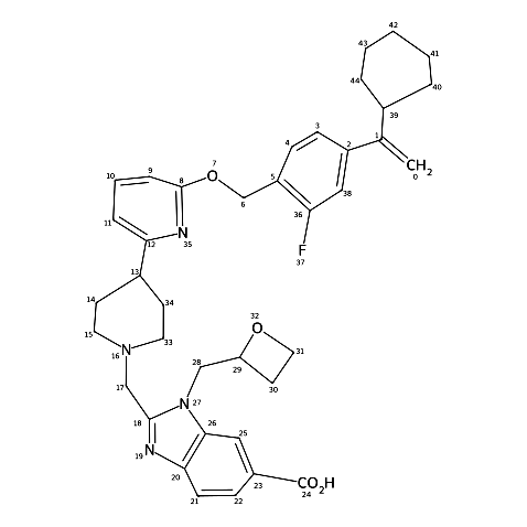 C=C(c1ccc(COc2cccc(C3CCN(Cc4nc5ccc(C(=O)O)cc5n4CC4CCO4)CC3)n2)c(F)c1)C1CCCCC1